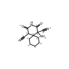 N#CC1C(=O)NC(=O)C(N)(C#N)C12CCCCC2